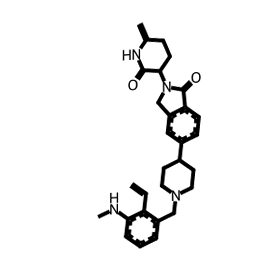 C=Cc1c(CN2CCC(c3ccc4c(c3)CN(C3CCC(=C)NC3=O)C4=O)CC2)cccc1NC